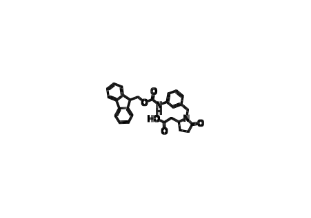 O=C(O)CC1CCC(=O)N1Cc1cccc(NC(=O)OCC2c3ccccc3-c3ccccc32)c1